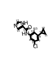 O=C(Nc1cc(Cl)cc(C2CC2)c1I)c1cnc[nH]1